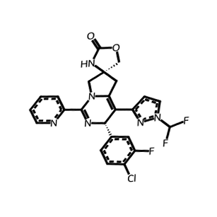 O=C1N[C@@]2(CO1)CC1=C(c3ccn(C(F)F)n3)[C@H](c3ccc(Cl)c(F)c3)N=C(c3ccccn3)N1C2